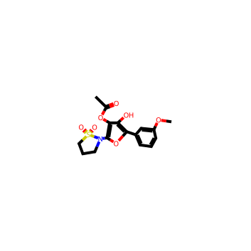 COc1cccc(-c2oc(N3CCCS3(=O)=O)c(OC(C)=O)c2O)c1